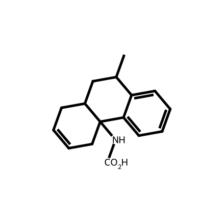 CC1CC2CC=CCC2(NC(=O)O)c2ccccc21